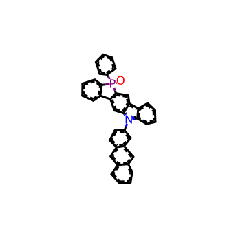 O=P1(c2ccccc2)c2ccccc2-c2cc3c(cc21)c1ccccc1n3-c1ccc2cc3ccccc3cc2c1